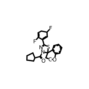 O=C(C1CCCC1)N1N=C(C2=CC(F)CC=C2F)SC12CCOc1ccccc12